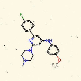 CN1CCN(c2cc(Nc3ccc(OC(F)(F)F)cc3)cc(-c3ccc(F)cc3)n2)CC1